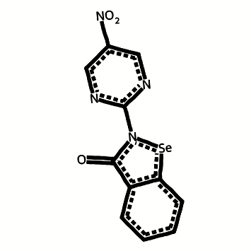 O=c1c2ccccc2[se]n1-c1ncc([N+](=O)[O-])cn1